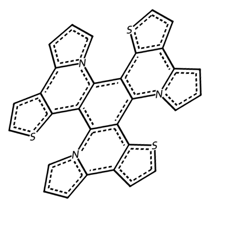 c1cc2c3ccsc3c3c(c4c5sccc5c5cccn5c4c4c5sccc5c5cccn5c34)n2c1